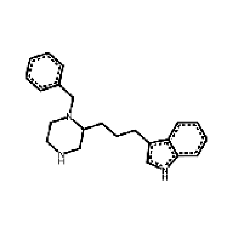 c1ccc(CN2CCNCC2CCCc2c[nH]c3ccccc23)cc1